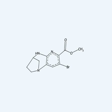 COC(=O)c1nc2c(cc1Br)N1CCC(C1)N2